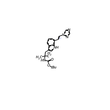 CC(C)(Cc1c[nH]c2c(/C=C/n3cncn3)cccc12)NC(=O)OC(C)(C)C